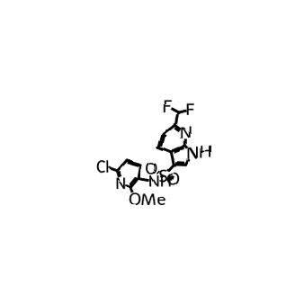 COc1nc(Cl)ccc1NS(=O)(=O)c1c[nH]c2nc(C(F)F)ccc12